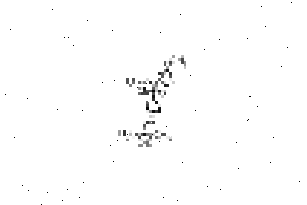 COc1cccc(N(CC(C)C)S(=O)(=O)c2ccc(OCc3c(C)noc3C)cc2)n1